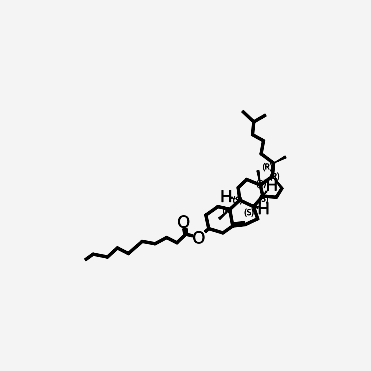 CCCCCCCCCC(=O)OC1CC[C@@]2(C)C(=CC[C@H]3[C@@H]4CC[C@H]([C@H](C)CCCC(C)C)[C@@]4(C)CC[C@@H]32)C1